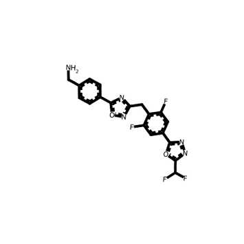 NCc1ccc(-c2nc(Cc3c(F)cc(-c4nnc(C(F)F)o4)cc3F)no2)cc1